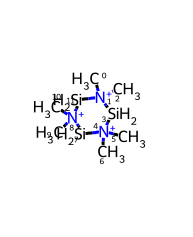 C[N+]1(C)[SiH2][N+](C)(C)[SiH2][N+](C)(C)[SiH2]1